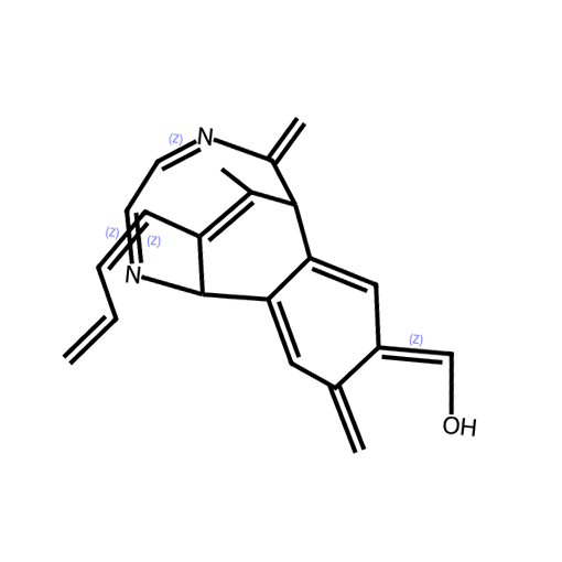 C=C/C=C\C1=C(C)C2C(=C)/N=C\C=N/C1c1cc(=C)/c(=C\O)cc12